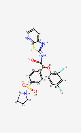 O=C(Nc1nc2cccnc2s1)C(Oc1ccc(F)cc1F)c1ccc(S(=O)(=O)N2CCCC2)cc1